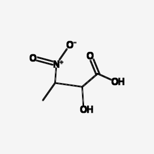 CC(C(O)C(=O)O)[N+](=O)[O-]